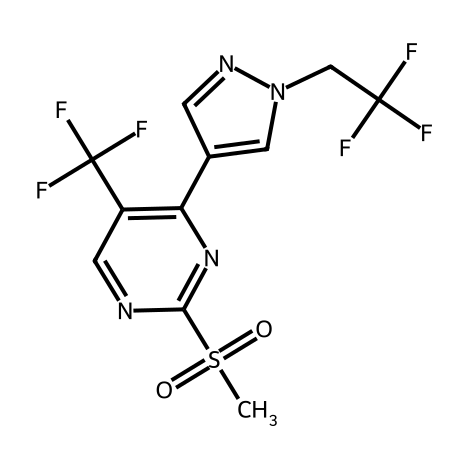 CS(=O)(=O)c1ncc(C(F)(F)F)c(-c2cnn(CC(F)(F)F)c2)n1